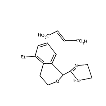 CCc1cccc2c1CCOC2C1=NCCN1.O=C(O)/C=C/C(=O)O